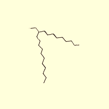 [CH2]CC(CCCCCCCCC)CCCCCCCCCCC